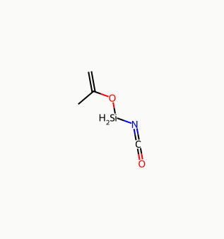 C=C(C)O[SiH2]N=C=O